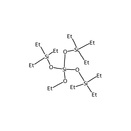 CCO[Si](O[Si](CC)(CC)CC)(O[Si](CC)(CC)CC)O[Si](CC)(CC)CC